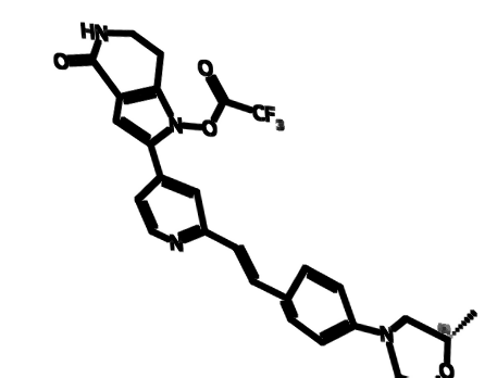 C[C@@H]1CN(c2ccc(C=Cc3cc(-c4cc5c(n4OC(=O)C(F)(F)F)CCNC5=O)ccn3)cc2)C[C@H](C)O1